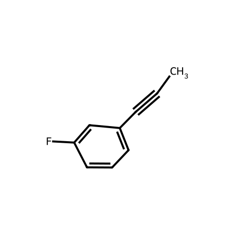 CC#Cc1cccc(F)c1